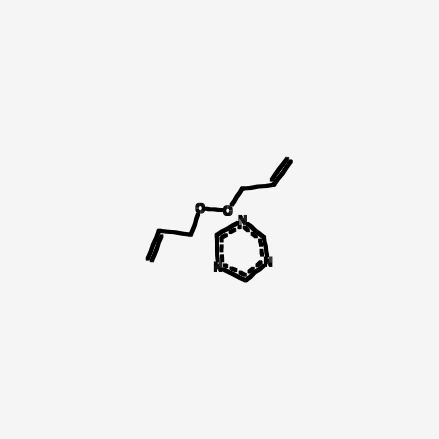 C=CCOOCC=C.c1ncncn1